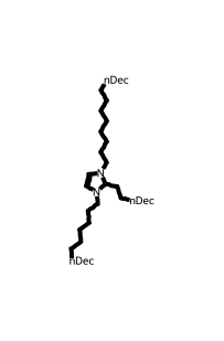 CCCCCCCCCCCCCCCCCCN1C=CN(CCCCCCCCCCCCCCCC)C1CCCCCCCCCCCC